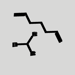 C=CCCCC=C.CCC(CC)CC